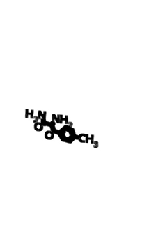 Cc1ccc(C(=O)C(N)C(N)=O)cc1